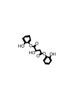 O=C(CC(O)C(=O)Oc1ccccc1O)Oc1ccccc1O